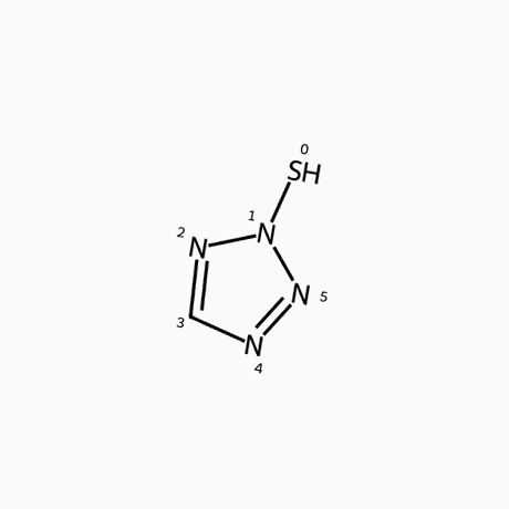 Sn1ncnn1